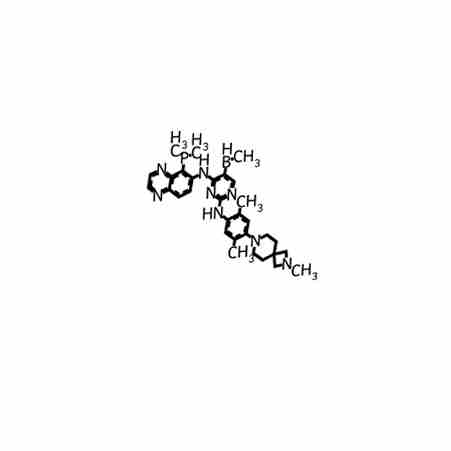 CBc1cnc(Nc2cc(C)c(N3CCC4(CC3)CN(C)C4)cc2C)nc1Nc1ccc2nccnc2c1P(C)C